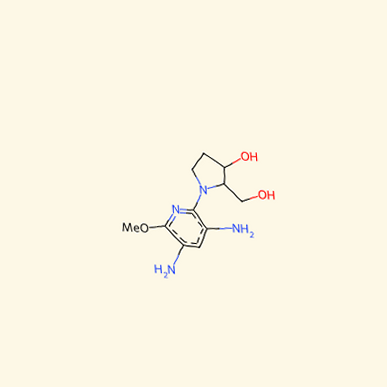 COc1nc(N2CCC(O)C2CO)c(N)cc1N